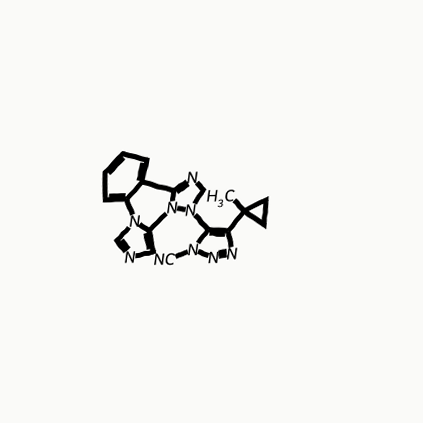 CC1(c2nnn(C#N)c2N2CN=C3c4ccccc4-n4cncc4N32)CC1